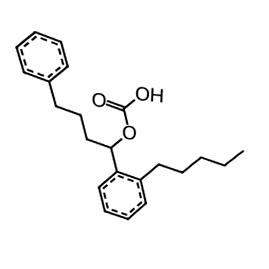 CCCCCc1ccccc1C(CCCc1ccccc1)OC(=O)O